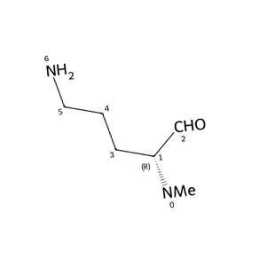 CN[C@@H](C=O)CCCN